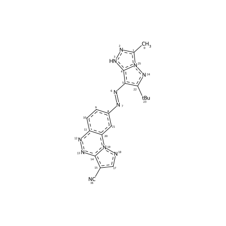 Cc1n[nH]c2c(/N=N/c3ccc4nnc5c(C#N)cnn5c4c3)c(C(C)(C)C)nn12